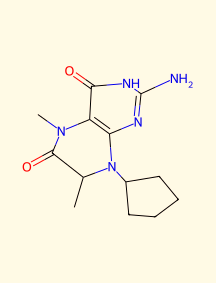 CC1C(=O)N(C)c2c(nc(N)[nH]c2=O)N1C1CCCC1